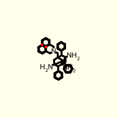 NC12CC3(CN(Cc4ccccc4)Cc4ccccc4)CC(N)(C1c1ccccc1)C(c1ccccc1)C(N)(C2)C3c1ccccc1